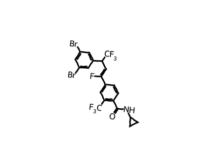 O=C(NC1CC1)c1ccc(/C(F)=C/C(c2cc(Br)cc(Br)c2)C(F)(F)F)cc1C(F)(F)F